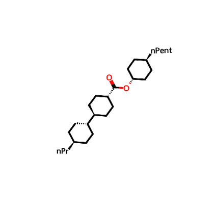 CCCCC[C@H]1CC[C@H](OC(=O)[C@H]2CC[C@H]([C@H]3CC[C@H](CCC)CC3)CC2)CC1